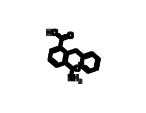 NC(=O)c1cccc(C(=O)O)c1Cc1ccccn1